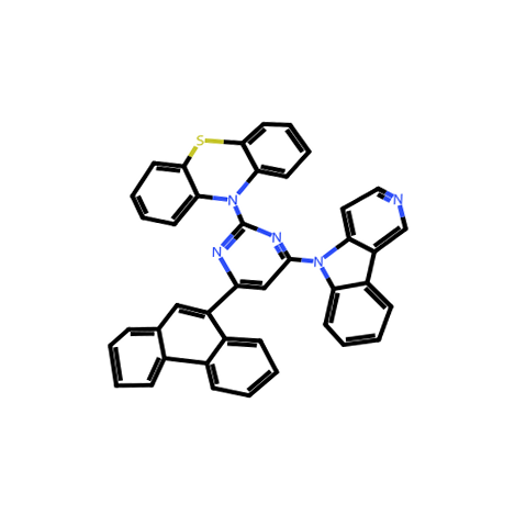 c1ccc2c(c1)Sc1ccccc1N2c1nc(-c2cc3ccccc3c3ccccc23)cc(-n2c3ccccc3c3cnccc32)n1